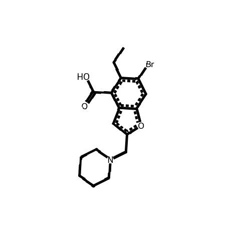 CCc1c(Br)cc2oc(CN3CCCCC3)cc2c1C(=O)O